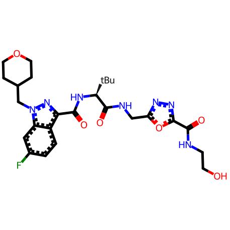 CC(C)(C)[C@H](NC(=O)c1nn(CC2CCOCC2)c2cc(F)ccc12)C(=O)NCc1nnc(C(=O)NCCO)o1